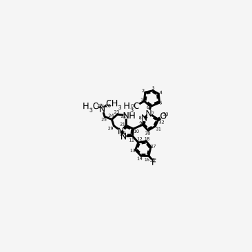 Cc1ccccc1-n1nc(-c2c(-c3ccc(F)cc3)nn3c2NCC(CN(C)C)C3)ccc1=O